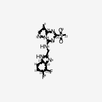 Cc1cnn2c(NCc3nc4c(F)c(F)ccc4[nH]3)nc(S(C)(=O)=O)nc12